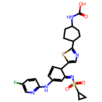 O=C(O)NC1CCC(c2ncc(C3C=CC(Nc4ccc(F)cn4)=CC3=NS(=O)(=O)C3CC3)s2)CC1